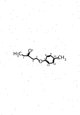 CCC(=O)CCOc1ccc(C)cc1